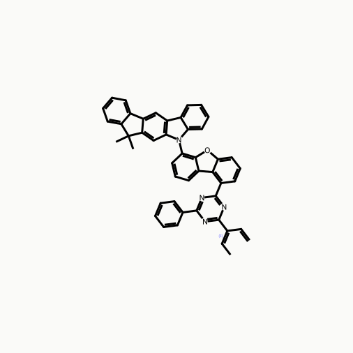 C=C/C(=C\C)c1nc(-c2ccccc2)nc(-c2cccc3oc4c(-n5c6ccccc6c6cc7c(cc65)C(C)(C)c5ccccc5-7)cccc4c23)n1